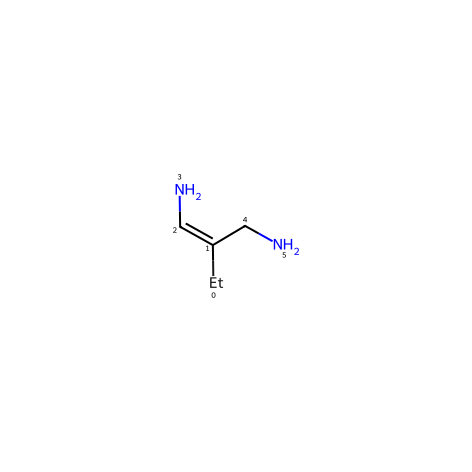 CC/C(=C/N)CN